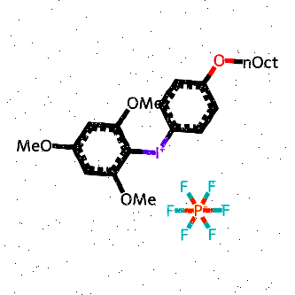 CCCCCCCCOc1ccc([I+]c2c(OC)cc(OC)cc2OC)cc1.F[P-](F)(F)(F)(F)F